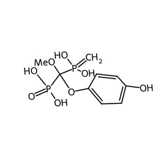 C=P(O)(O)C(OC)(Oc1ccc(O)cc1)P(=O)(O)O